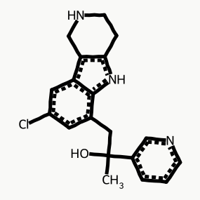 CC(O)(Cc1cc(Cl)cc2c3c([nH]c12)CCNC3)c1cccnc1